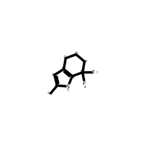 Cc1cc2c(s1)C(F)(F)CCC2